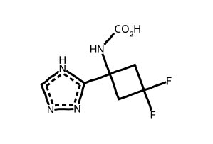 O=C(O)NC1(c2nnc[nH]2)CC(F)(F)C1